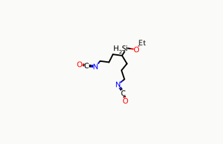 CCO[SiH2]C(CCCN=C=O)CCCN=C=O